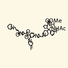 COC(=O)N[C@H]1CCC[C@@H]1[C@](CNC(C)=O)(c1cccc(F)c1)C1CCN(CC2CN(c3ccc(S(=O)(=O)C4CN(C(=O)/C=C/CN5CCCCC5)C4)c(CN4CCC(F)CC4)c3)C2)CC1